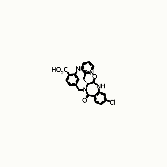 Nc1cc(CN2C(=O)c3ccc(Cl)cc3NC(=O)[C@H]2Cc2ccccn2)ccc1C(=O)O